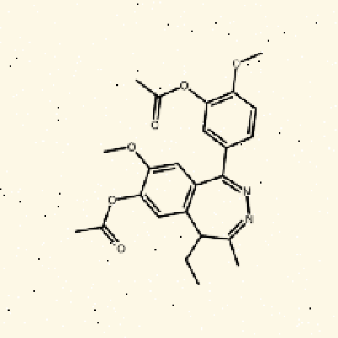 CCC1C(C)=NN=C(c2ccc(OC)c(OC(C)=O)c2)c2cc(OC)c(OC(C)=O)cc21